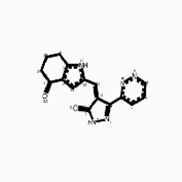 O=C1NN=C(c2cccnn2)C1=Cc1cc2c([nH]1)CCCC2=O